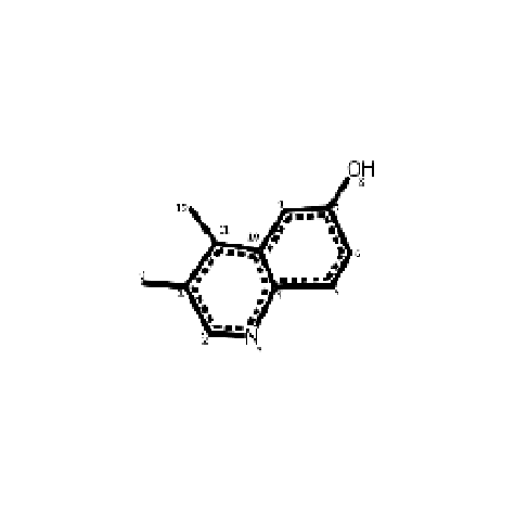 Cc1[c]nc2ccc(O)cc2c1C